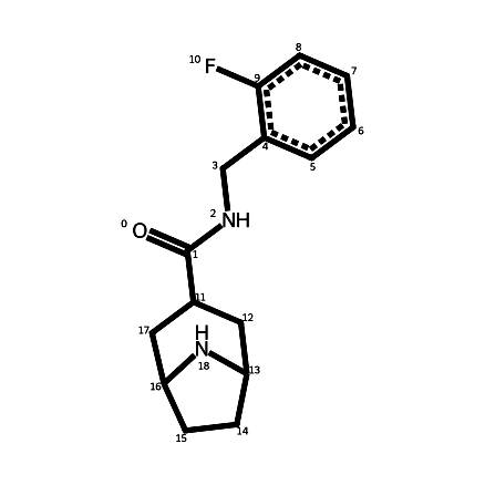 O=C(NCc1ccccc1F)C1CC2CCC(C1)N2